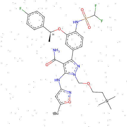 C[C@H](Oc1cc(-c2nn(COCC[Si](C)(C)C)c(Nc3cc(C(C)(C)C)on3)c2C(N)=O)ccc1NS(=O)(=O)C(F)F)c1ccc(F)cc1